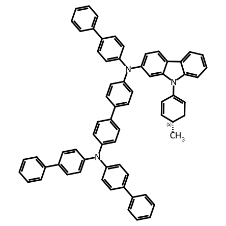 C[C@@H]1C=CC(n2c3ccccc3c3ccc(N(c4ccc(-c5ccccc5)cc4)c4ccc(-c5ccc(N(c6ccc(-c7ccccc7)cc6)c6ccc(-c7ccccc7)cc6)cc5)cc4)cc32)=CC1